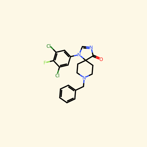 O=C1N=CN(c2cc(Cl)c(F)c(Cl)c2)C12CCN(Cc1ccccc1)CC2